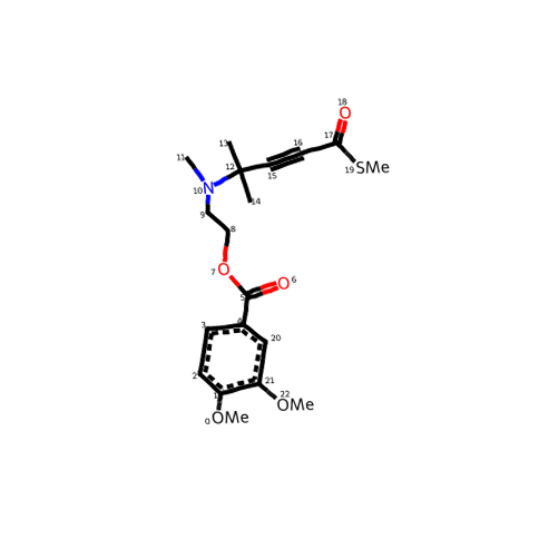 COc1ccc(C(=O)OCCN(C)C(C)(C)C#CC(=O)SC)cc1OC